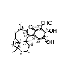 C[C@@H]1CC[C@H]2C(C)(C)CCCC2(C)c2c1oc1c(C=O)c(O)c(O)cc21